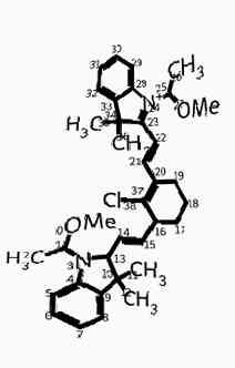 COC(C)N1c2ccccc2C(C)(C)C1C=CC1CCCC(C=CC2=[N+](C(C)OC)c3ccccc3C2(C)C)=C1Cl